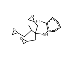 CC(CC1CO1)C(CC1CO1)(CC1CO1)Nc1ccccc1O